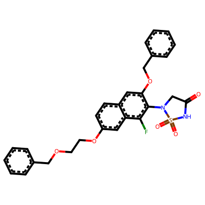 O=C1CN(c2c(OCc3ccccc3)cc3ccc(OCCOCc4ccccc4)cc3c2F)S(=O)(=O)N1